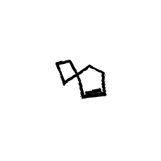 [C]1=CCCC12CCC2